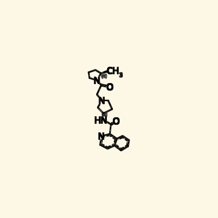 C[C@@H]1CCCN1C(=O)CN1CC[C@H](NC(=O)c2nccc3ccccc23)C1